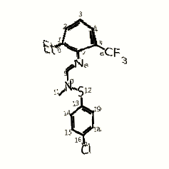 CCc1cccc(C(F)(F)F)c1N=CN(C)Sc1ccc(Cl)cc1